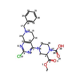 COC(=O)C1CN(c2nc(Cl)nc3c2CCN(Cc2ccccc2)C3)CCN1C(=O)O